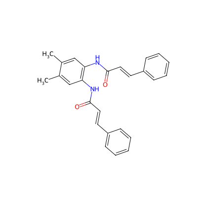 Cc1cc(NC(=O)C=Cc2ccccc2)c(NC(=O)C=Cc2ccccc2)cc1C